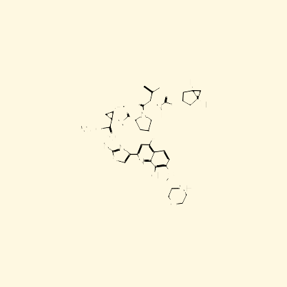 C=C(C)[C@H](NC(=O)O[C@@H]1C[C@@H]2C[C@@H]2C1)C(=O)N1C[C@H](Oc2cc(-c3csc(NC(C)C)n3)nc3c(Cl)c(OC[C@H]4COCCN4)ccc23)C[C@H]1C(=O)N[C@]1(C(=O)OC)C[C@H]1CC